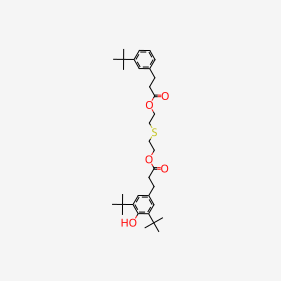 CC(C)(C)c1cccc(CCC(=O)OCCSCCOC(=O)CCc2cc(C(C)(C)C)c(O)c(C(C)(C)C)c2)c1